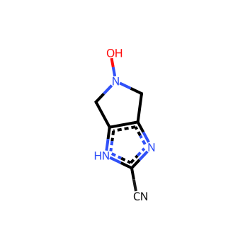 N#Cc1nc2c([nH]1)CN(O)C2